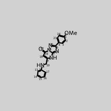 COc1ccc(-c2nc3[nH]c(CNc4ccccc4)cc(=O)n3n2)cc1